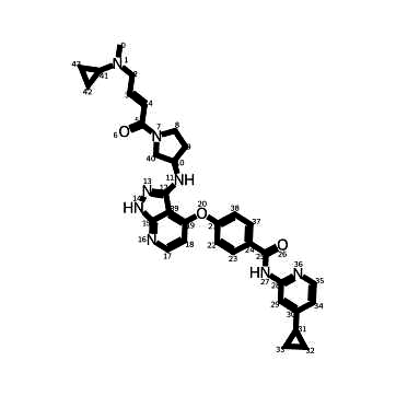 CN(CC=CC(=O)N1CCC(Nc2n[nH]c3nccc(Oc4ccc(C(=O)Nc5cc(C6CC6)ccn5)cc4)c23)C1)C1CC1